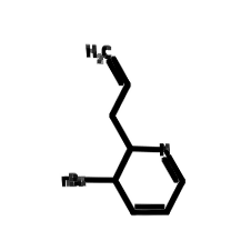 C=CCC1N=CC=CC1CCCC